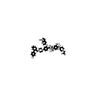 CC1(C)CCC(CN2CCN(c3ccc(C(=O)NS(=O)(=O)c4ccc(NC5CCN(CC(F)F)CC5)c([N+](=O)[O-])c4)c(Oc4cnc5[nH]ccc5c4)c3)CC2)=C(c2ccc(Cl)cc2)C1